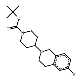 CC(C)(C)OC(=O)N1CCC(N2CCc3cc(F)ccc3C2)CC1